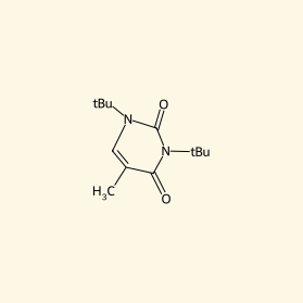 Cc1cn(C(C)(C)C)c(=O)n(C(C)(C)C)c1=O